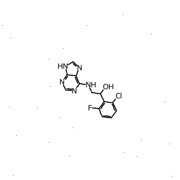 OC(CNc1ncnc2[nH]cnc12)c1c(F)cccc1Cl